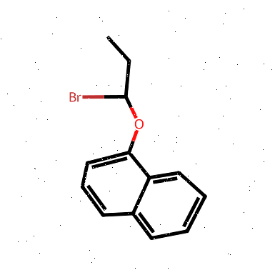 CCC(Br)Oc1cccc2ccccc12